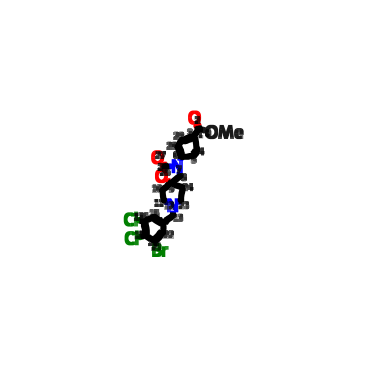 COC(=O)c1ccc(N2CC3(CCN(Cc4cc(Cl)c(Cl)c(Br)c4)CC3)OC2=O)cc1